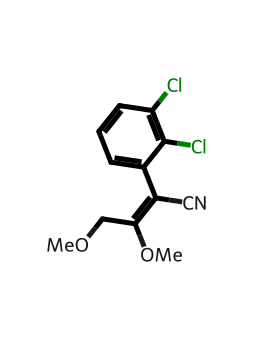 COC/C(OC)=C(/C#N)c1cccc(Cl)c1Cl